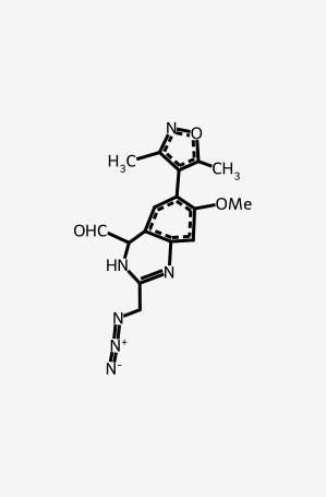 COc1cc2c(cc1-c1c(C)noc1C)C(C=O)NC(CN=[N+]=[N-])=N2